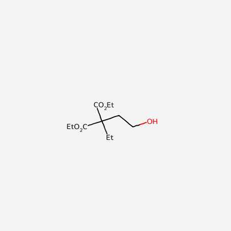 CCOC(=O)C(CC)(CCO)C(=O)OCC